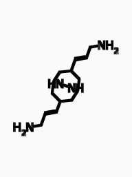 NC/C=C/C1CC2CC(/C=C/CN)CC(C1)NN2